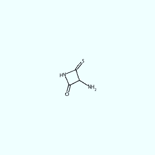 NC1C(=O)NC1=S